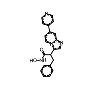 O=C(NO)C(Cc1ccccc1)c1cnc2cc(-c3ccncc3)ccn12